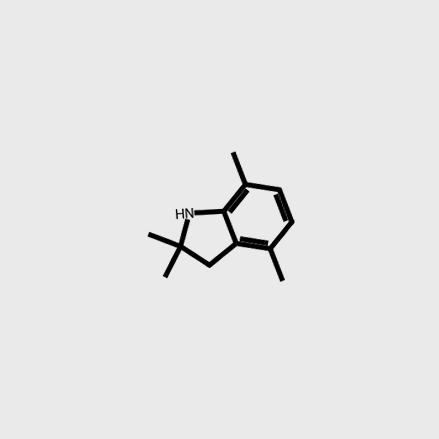 Cc1ccc(C)c2c1CC(C)(C)N2